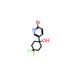 OC1(c2ccc(Br)nc2)CCC(F)(F)CC1